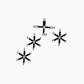 FS(F)(F)(F)(F)F.FS(F)(F)(F)(F)F.FS(F)(F)(F)(F)F.O=P(O)(O)O